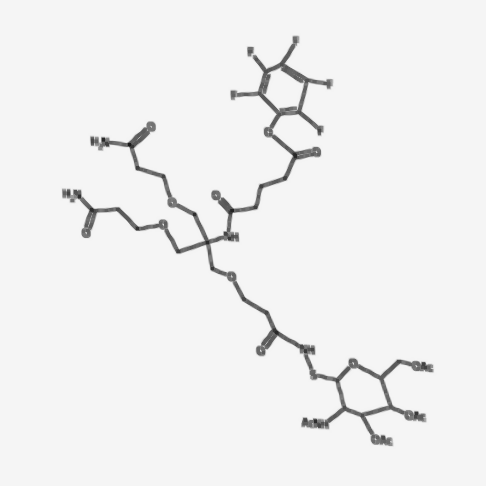 CC(=O)NC1C(SNC(=O)CCOCC(COCCC(N)=O)(COCCC(N)=O)NC(=O)CCCC(=O)Oc2c(F)c(F)c(F)c(F)c2F)OC(COC(C)=O)C(OC(C)=O)C1OC(C)=O